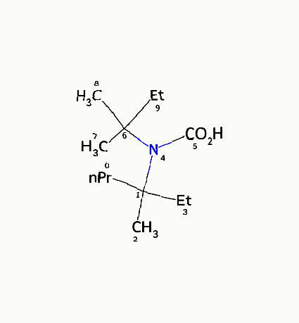 CCCC(C)(CC)N(C(=O)O)C(C)(C)CC